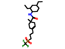 CCC1CCC(NC(=O)C2(C)CC=C(CCCS(=O)(=O)C(F)(F)F)CC2)C(CC)C1